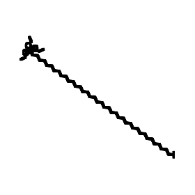 CCO[Si](CCCCCCCCCCCCCCCCCCCCCCCCCCCCCCCCCCCCCCCI)(OCC)OCC